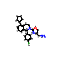 NC[C@@H]1COC(N2CCc3c(C4CCCC4)cccc3[C@@H]2c2ccc(F)cc2)=N1